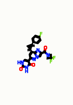 O=C(c1cn2nc(-c3c[nH]c(=O)[nH]c3=O)cc([C@H]3C[C@@H]3c3ccc(F)cc3)c2n1)N1CC(F)(F)C1